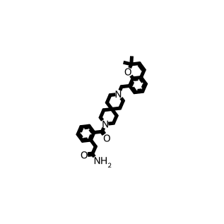 CC1(C)C=Cc2cccc(CN3CCC4(CC3)CCN(C(=O)c3ccccc3CC(N)=O)CC4)c2O1